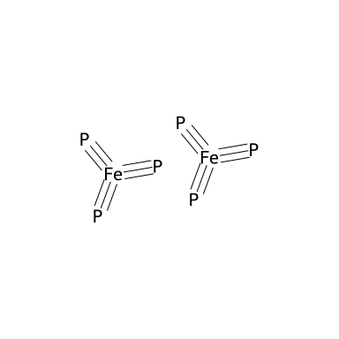 [P]#[Fe](#[P])#[P].[P]#[Fe](#[P])#[P]